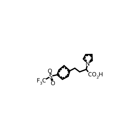 O=C(O)C(CCc1ccc(S(=O)(=O)C(F)(F)F)cc1)n1cccc1